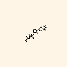 Cc1c(CNC(=O)c2cc(C3CC3)nn2C)cccc1N1CCN(S(C)(=O)=O)CC1